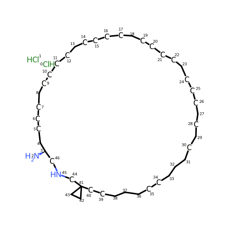 Cl.Cl.N[C@H]1CCCCCCCCCCCCCCCCCCCCCCCCCCCCCCCCCCCCCC2(CC2)CNC1